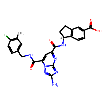 Cc1cc(CNC(=O)c2cc(C(=O)N[C@H]3CCc4cc(C(=O)O)ccc43)nc3nc(N)nn23)ccc1F